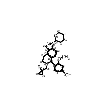 COc1cc(O)ccc1C1c2ccc3c(cnn3C3CCCCO3)c2CCN1CC1(F)CC1